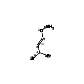 NO/C=C/C(Br)Br